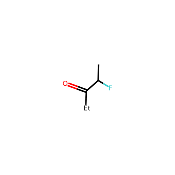 CCC(=O)C(C)F